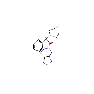 O=C(N1CCC2CNCC2C1)[C@](O)(c1ccccc1)[C@@H]1CCC(F)(F)C1